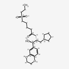 CCCS(=O)(=O)CCCCC(=O)C[C@H](CN1CCCC1)[C@H](O)c1ccc2c(c1)OCCO2